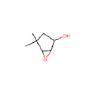 CC1(C)CC(O)C2OC21